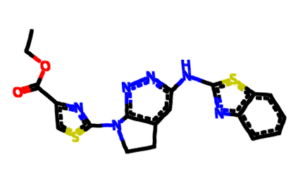 CCOC(=O)c1csc(N2CCc3cc(Nc4nc5ccccc5s4)nnc32)n1